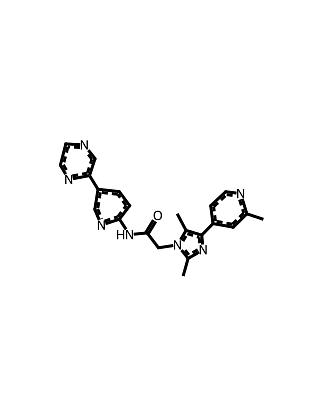 Cc1cc(-c2nc(C)n(CC(=O)Nc3ccc(-c4cnccn4)cn3)c2C)ccn1